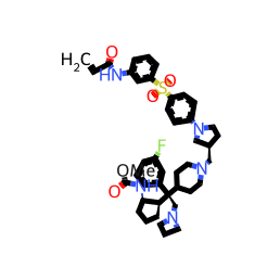 C=CC(=O)Nc1cccc(S(=O)(=O)c2ccc(N3CC[C@@H](CN4CCC([C@@](CN5CCC5)(c5cccc(F)c5)[C@H]5CCC[C@@H]5NC(=O)OC)CC4)C3)cc2)c1